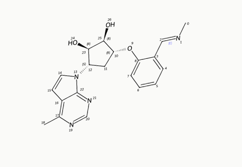 C/N=C/c1ccccc1O[C@@H]1C[C@H](n2ccc3c(C)ncnc32)[C@@H](O)[C@H]1O